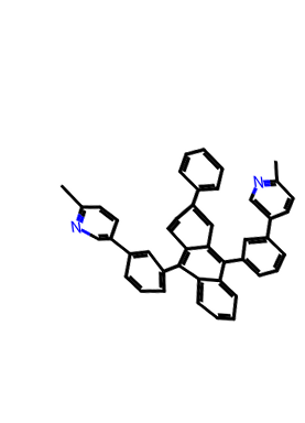 Cc1ccc(-c2cccc(-c3c4ccccc4c(-c4cccc(-c5ccc(C)nc5)c4)c4cc(-c5ccccc5)ccc34)c2)cn1